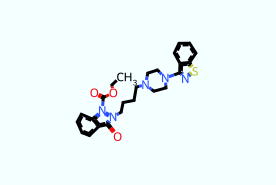 CCOC(=O)n1c2ccccc2c(=O)n1CCCCN1CCN(c2nsc3ccccc23)CC1